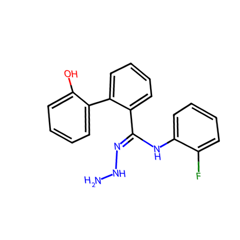 NN/N=C(\Nc1ccccc1F)c1ccccc1-c1ccccc1O